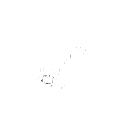 O=C[C@@H]1[C@H](CCCCCCC(=O)O)[C@H]2O[C@@H]1[C@H]1O[C@H]12